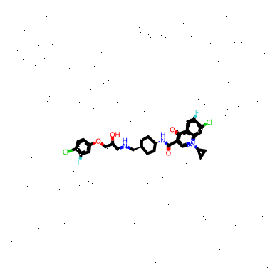 O=C(N[C@H]1CC[C@H](CNCC(O)COc2ccc(Cl)c(F)c2)CC1)c1cn(C2CC2)c2cc(Cl)c(F)cc2c1=O